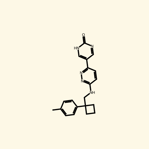 Cc1ccc(C2(CNc3ccc(-c4cnc(=O)[nH]c4)nn3)CCC2)cc1